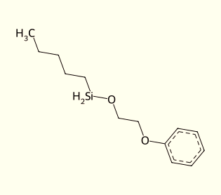 CCCCC[SiH2]OCCOc1ccccc1